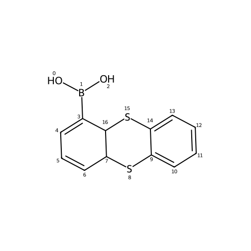 OB(O)C1=CC=CC2Sc3ccccc3SC12